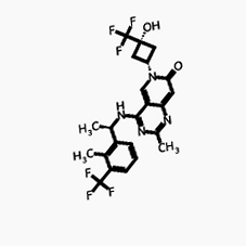 Cc1nc(N[C@H](C)c2cccc(C(F)(F)F)c2C)c2cn([C@H]3C[C@](O)(C(F)(F)F)C3)c(=O)cc2n1